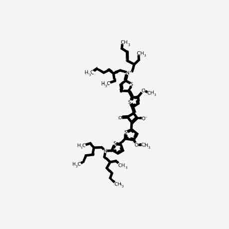 CCCCC(CC)CN(CC(CC)CCCC)c1ccc(-c2sc(C3=C([O-])/C(=c4\cc(OC)/c(=C5/C=CC(=[N+](CC(CC)CCCC)CC(CC)CCCC)S5)s4)C3=O)cc2OC)s1